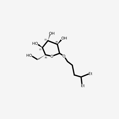 CCC(CC)CCCOC1O[C@H](CO)[C@@H](O)[C@H](O)[C@H]1O